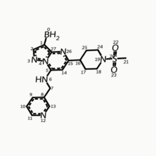 Bc1cnn2c(NCc3cccnc3)cc(C3CCN(S(C)(=O)=O)CC3)nc12